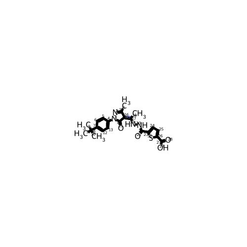 CC1=NN(c2ccc(C(C)(C)C)cc2)C(=O)/C1=C(/C)NNC(=O)c1ccc(C(=O)O)s1